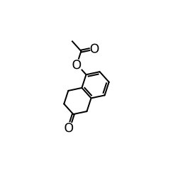 CC(=O)Oc1cccc2c1CCC(=O)C2